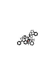 COC(c1ccccc1)c1ccc(F)c(Cl)c1-c1nccn1C(C(=O)NC1CCCCC1)C1=COC(c2ccccc2Cl)O1